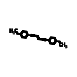 CC[C@H]1CC[C@H](C#C/C=C/C#C[C@H]2CC[C@H](CC)CC2)CC1